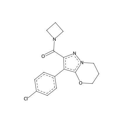 O=C(c1nn2c(c1-c1ccc(Cl)cc1)OCCC2)N1CCC1